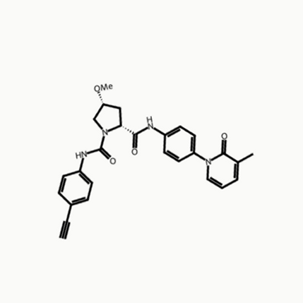 C#Cc1ccc(NC(=O)N2C[C@H](OC)C[C@@H]2C(=O)Nc2ccc(-n3cccc(C)c3=O)cc2)cc1